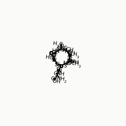 CNC(=O)C[C@@H]1NC(=O)c2csc(n2)-c2ccc(-c3nc(NC(=O)[C@H](CN)CCC(=O)O)cs3)nc2-c2csc(n2)-c2csc(n2)[C@H]([C@@H](O)c2ccccc2)NC(=O)CNC(=O)c2nc(sc2COC)[C@H](C(C)C)NC(=O)c2nc1sc2C